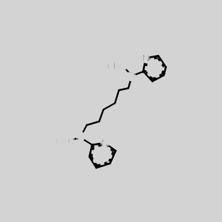 CCCCP(CCCCCCP(CCCC)c1ccccn1)c1ccccn1